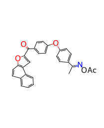 CC(=O)O/N=C(\C)c1ccc(Oc2ccc(C(=O)c3cc4c(ccc5ccccc54)o3)cc2)cc1